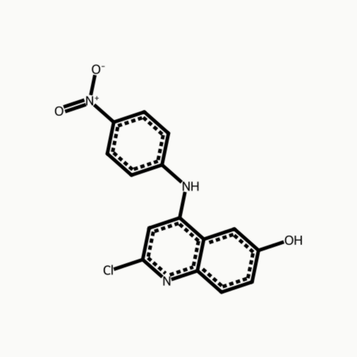 O=[N+]([O-])c1ccc(Nc2cc(Cl)nc3ccc(O)cc23)cc1